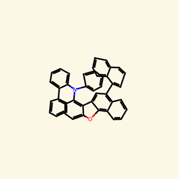 c1ccc(-c2ccccc2N(c2ccccc2)c2cccc3oc4c5ccccc5c(-c5cccc6ccccc56)cc4c23)cc1